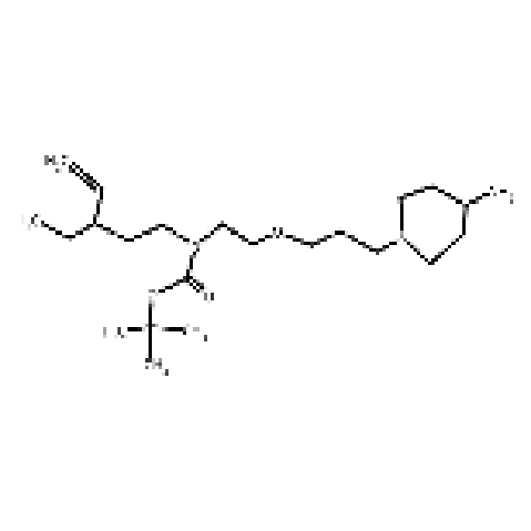 C=CC(CC)CCN(CCOCCCN1CCC(N)CC1)C(=O)OC(C)(C)C